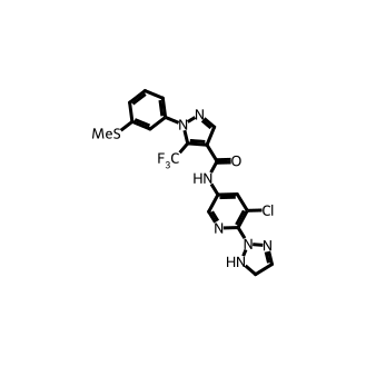 CSc1cccc(-n2ncc(C(=O)Nc3cnc(N4N=CCN4)c(Cl)c3)c2C(F)(F)F)c1